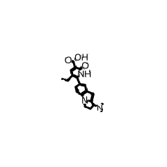 CCc1cc(C(=O)O)c(=O)[nH]c1-c1ccc2c(c1)cc1n2CCC1N(C)C